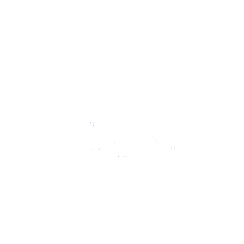 Cc1ccccc1-c1cc2c(c[n+]1C)C(C)(C)c1c-2c2cccc3c4ccccc4n1c23